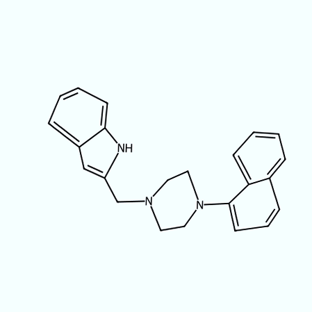 c1ccc2[nH]c(CN3CCN(c4cccc5ccccc45)CC3)cc2c1